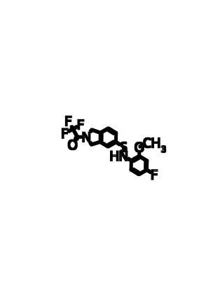 COc1cc(F)ccc1NSc1ccc2c(c1)CN(C(=O)C(F)(F)F)C2